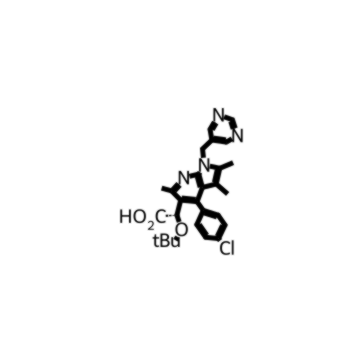 Cc1nc2c(c(C)c(C)n2Cc2cncnc2)c(-c2ccc(Cl)cc2)c1[C@H](OC(C)(C)C)C(=O)O